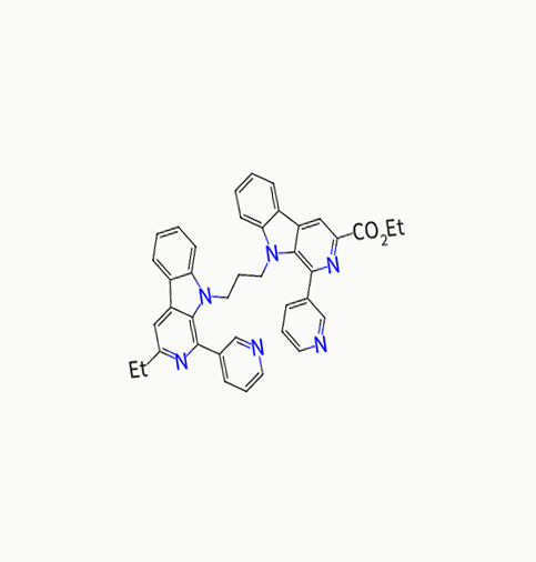 CCOC(=O)c1cc2c3ccccc3n(CCCn3c4ccccc4c4cc(CC)nc(-c5cccnc5)c43)c2c(-c2cccnc2)n1